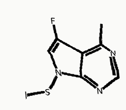 Cc1ncnc2c1c(F)cn2SI